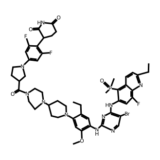 CCc1ccc2c(P(C)(C)=O)c(Nc3nc(Nc4cc(CC)c(N5CCC(N6CCN(C(=O)C7CCN(c8cc(F)c(C9CCC(=O)NC9=O)c(F)c8)C7)CC6)CC5)cc4OC)ncc3Br)cc(F)c2n1